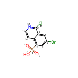 O=S(=O)(O)c1cc(Br)cc2c(Cl)nccc12